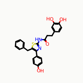 O=C(CCc1ccc(O)c(O)c1)Nc1nc(-c2ccc(O)cc2)c(Cc2ccccc2)s1